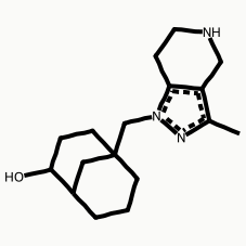 Cc1nn(CC23CCCC(C2)C(O)CC3)c2c1CNCC2